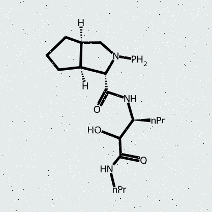 CCCNC(=O)C(O)[C@H](CCC)NC(=O)[C@@H]1[C@H]2CCC[C@H]2CN1P